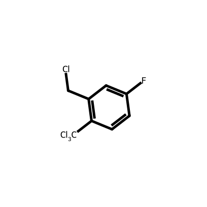 Fc1ccc(C(Cl)(Cl)Cl)c(CCl)c1